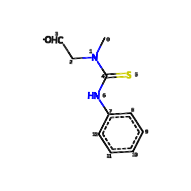 CN(C[C]=O)C(=S)Nc1ccccc1